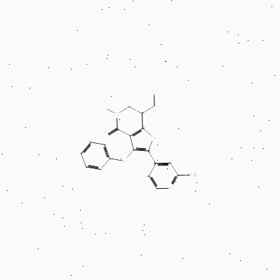 CN1CC(CC(F)(F)F)c2[nH]c(-c3ccnc(N)c3)c(Nc3ccccc3)c2C1=O